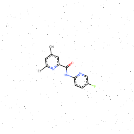 CCc1cc(C#N)cc(C(=O)Nc2ccc(F)cn2)n1